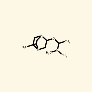 CC(OC1CN2CCN1CC2C)N(C)C